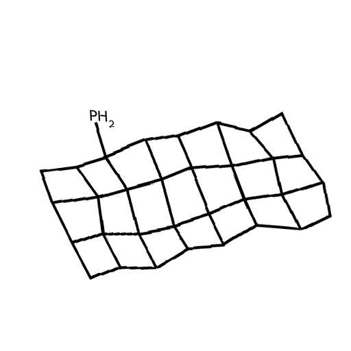 PC12C3CC4C5CC6C7C8C9C%10C%11CC%12C%13CC%14C%15C%16C1C1%17C%16%18C%15%16C%13%14C%12%11C%10%16C9%18C81C71C56C43C21%17